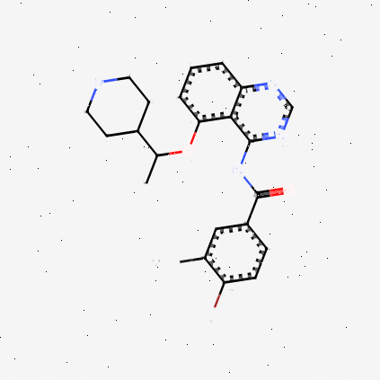 COc1cc(C(=O)Nc2ncnc3cccc(OC(C)C4CCNCC4)c23)ccc1Br